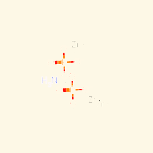 N.O=P([O-])([O-])[O-].O=P([O-])([O-])[O-].[Zn+2].[Zn+2].[Zn+2]